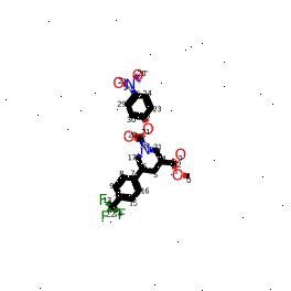 COC(=O)C1CC(c2ccc(C(F)(F)F)cc2)CN(C(=O)Oc2ccc([N+](=O)[O-])cc2)C1